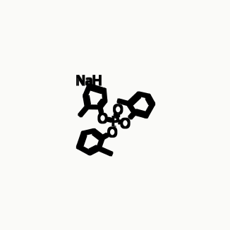 Cc1ccccc1OP(=O)(Oc1ccccc1C)Oc1ccccc1C.[NaH]